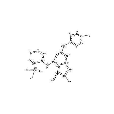 Cc1ccc(Nc2cc(Nc3ccccc3S(C)(=O)=O)c3c(=O)n(C)[nH]c3n2)nn1